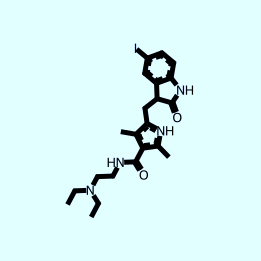 CCN(CC)CCNC(=O)c1c(C)[nH]c(CC2C(=O)Nc3ccc(I)cc32)c1C